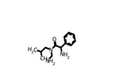 CC(C)CN(CN)C(=O)C(N)c1ccccc1